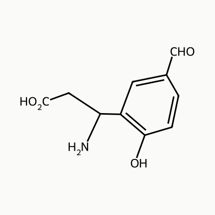 NC(CC(=O)O)c1cc(C=O)ccc1O